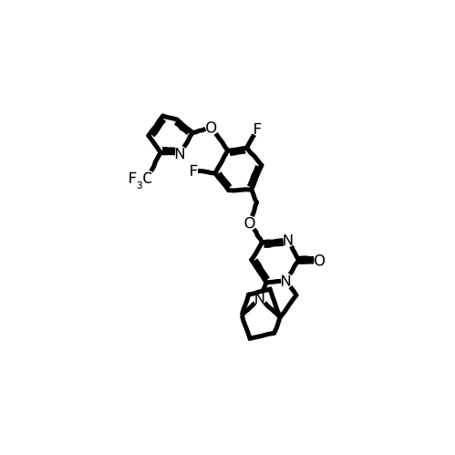 O=c1nc(OCc2cc(F)c(Oc3cccc(C(F)(F)F)n3)c(F)c2)cc2n1CC13CCC(CC1)N23